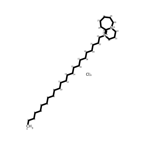 CCCCCCCCCCCCCCCCCCCCCCCC[N+]1=C2CCCCCN2CCC1.[Cl-]